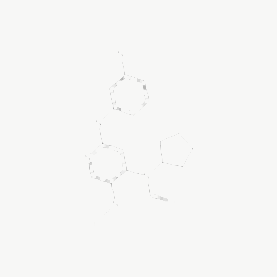 CNc1cnc(Nc2cccc(N)c2)cc1N(C=O)C1CCCC1